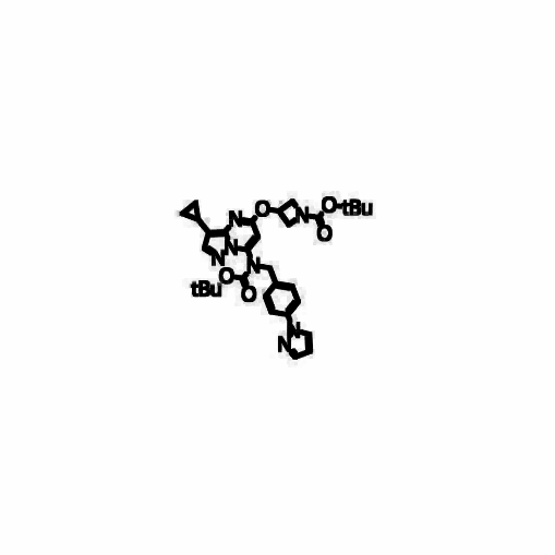 CC(C)(C)OC(=O)N1CC(Oc2cc(N(Cc3ccc(-n4cccn4)cc3)C(=O)OC(C)(C)C)n3ncc(C4CC4)c3n2)C1